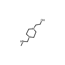 CNCN1CCN(CCO)CC1